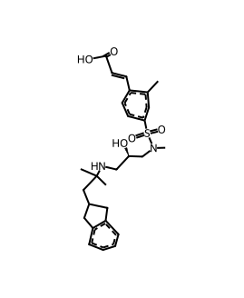 Cc1cc(S(=O)(=O)N(C)C[C@H](O)CNC(C)(C)CC2Cc3ccccc3C2)ccc1/C=C/C(=O)O